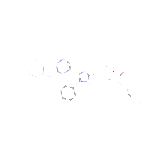 C=CCNC(=O)C1(C)COC(c2nc(-c3ccc(F)cc3)c(-c3ccnc(NC4CCNCC4)n3)[nH]2)OC1